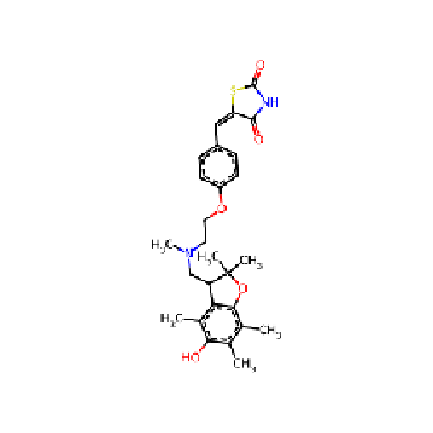 Cc1c(C)c2c(c(C)c1O)C(CN(C)CCOc1ccc(C=C3SC(=O)NC3=O)cc1)C(C)(C)O2